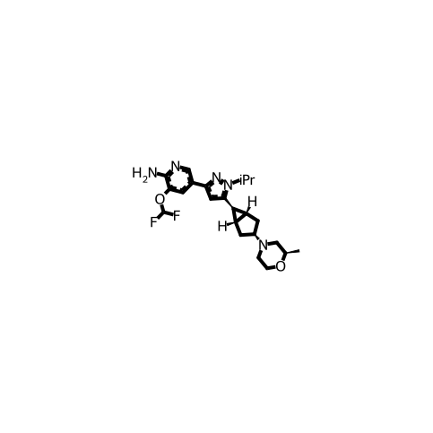 CC(C)n1nc(-c2cnc(N)c(OC(F)F)c2)cc1[C@H]1[C@@H]2C[C@@H](N3CCO[C@H](C)C3)C[C@@H]21